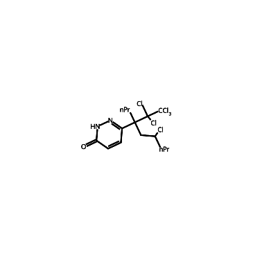 CCCC(Cl)CC(CCC)(c1ccc(=O)[nH]n1)C(Cl)(Cl)C(Cl)(Cl)Cl